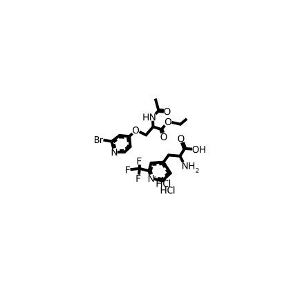 CCOC(=O)C(COc1ccnc(Br)c1)NC(C)=O.Cl.Cl.NC(Cc1ccnc(C(F)(F)F)c1)C(=O)O